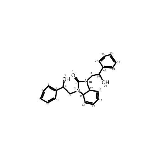 O=C1N(CC(O)c2ccccc2)C2C=CC=CC2N1CC(O)c1ccccc1